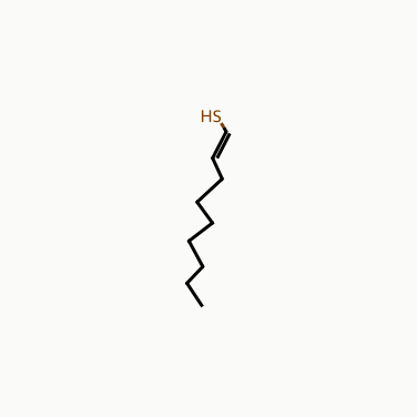 CCCCCCCC=CS